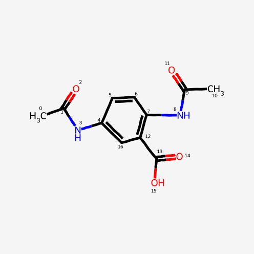 CC(=O)Nc1ccc(NC(C)=O)c(C(=O)O)c1